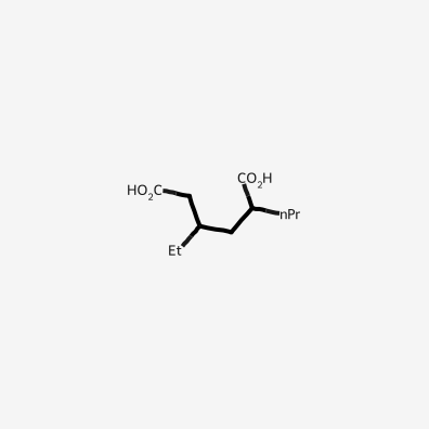 CCCC(CC(CC)CC(=O)O)C(=O)O